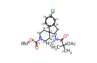 CC(=O)OC(C)(C)C(=O)N(C)[C@@H]1Cc2cc(Cl)ccc2C12CCN(C(=O)OC(C)(C)C)CC2